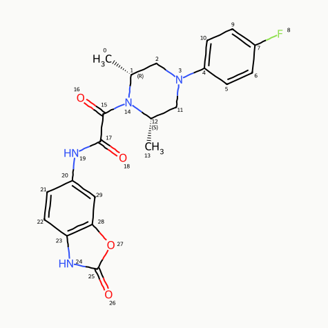 C[C@@H]1CN(c2ccc(F)cc2)C[C@H](C)N1C(=O)C(=O)Nc1ccc2[nH]c(=O)oc2c1